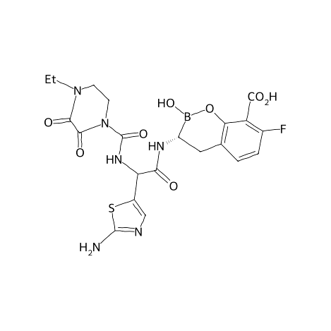 CCN1CCN(C(=O)NC(C(=O)N[C@H]2Cc3ccc(F)c(C(=O)O)c3OB2O)c2cnc(N)s2)C(=O)C1=O